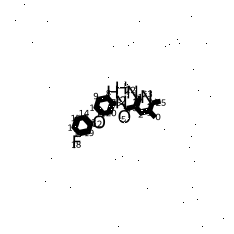 Cc1cc(C(=O)Nc2cccc(Oc3cccc(F)c3)c2)c(N)nc1C